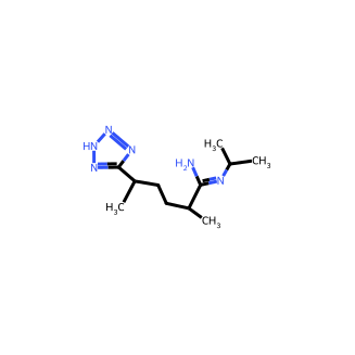 CC(C)/N=C(\N)C(C)CCC(C)c1nn[nH]n1